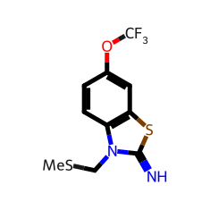 CSCn1c(=N)sc2cc(OC(F)(F)F)ccc21